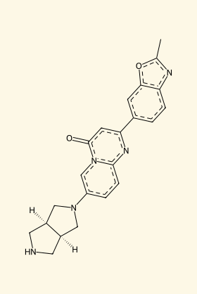 Cc1nc2ccc(-c3cc(=O)n4cc(N5C[C@H]6CNC[C@H]6C5)ccc4n3)cc2o1